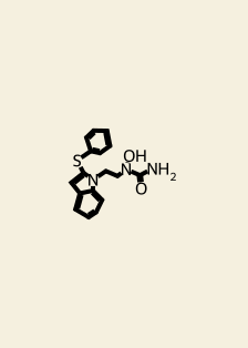 NC(=O)N(O)CCn1c(Sc2ccccc2)cc2ccccc21